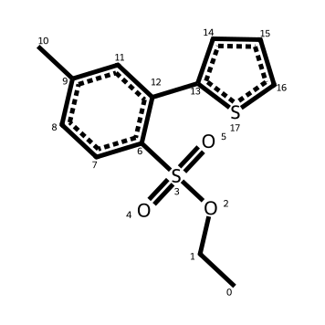 CCOS(=O)(=O)c1ccc(C)cc1-c1cccs1